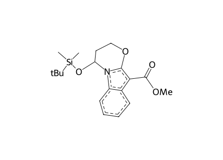 COC(=O)c1c2n(c3ccccc13)C(O[Si](C)(C)C(C)(C)C)CCO2